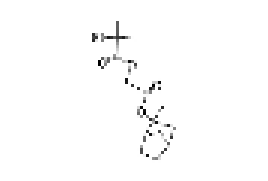 CCC(C)(C)C(=O)OCC(=O)OC1(C)CC2CCC1C2